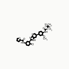 COc1cc(-c2cnc3nc(-c4cc(NC(=O)c5ccco5)ccc4Cl)[nH]c3c2)ccc1NC(=O)OC(C)(C)C